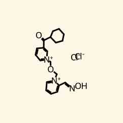 O=C(c1ccc[n+](COC[n+]2ccccc2C=NO)c1)C1CCCCC1.[Cl-].[Cl-]